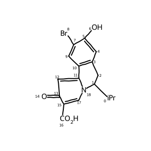 CC(C)C1Cc2cc(O)c(Br)cc2-c2cc(=O)c(C(=O)O)cn21